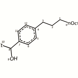 CCCCCCCCCCCc1ccc(C(O)CC)cc1